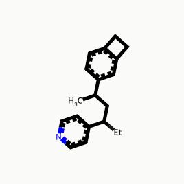 CCC(CC(C)c1ccc2c(c1)CC2)c1ccncc1